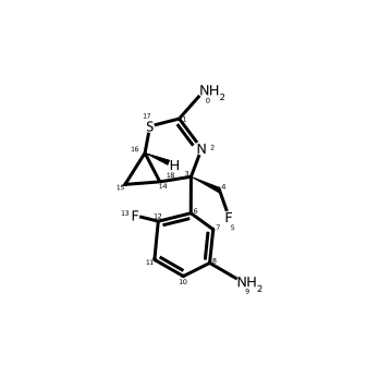 NC1=N[C@](CF)(c2cc(N)ccc2F)C2C[C@@H]2S1